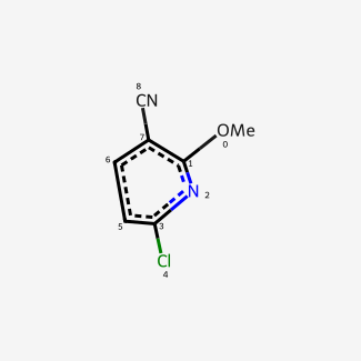 COc1nc(Cl)ccc1C#N